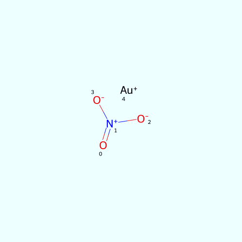 O=[N+]([O-])[O-].[Au+]